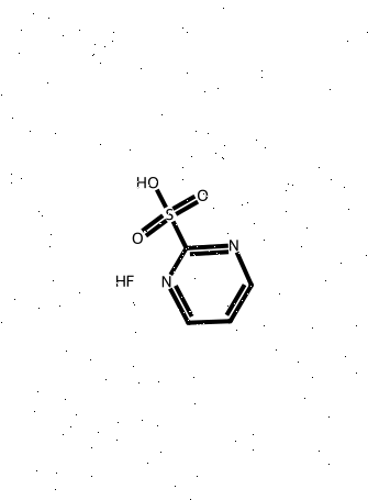 F.O=S(=O)(O)c1ncccn1